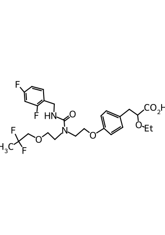 CCOC(Cc1ccc(OCCN(CCOCC(C)(F)F)C(=O)NCc2ccc(F)cc2F)cc1)C(=O)O